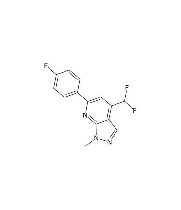 Cn1ncc2c(C(F)F)cc(-c3ccc(F)cc3)nc21